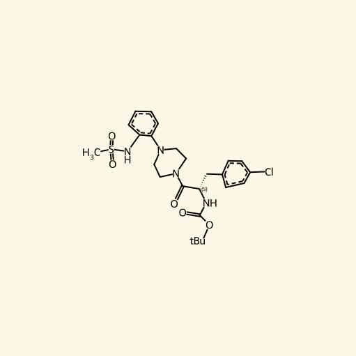 CC(C)(C)OC(=O)N[C@@H](Cc1ccc(Cl)cc1)C(=O)N1CCN(c2ccccc2NS(C)(=O)=O)CC1